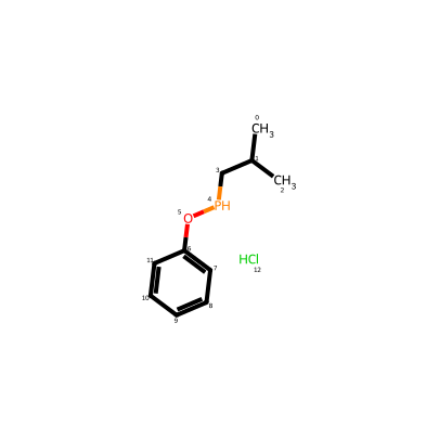 CC(C)CPOc1ccccc1.Cl